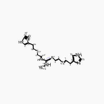 N#CN/C(=N\CCSCCc1c[nH]cn1)NCCSCCc1c[nH]cn1